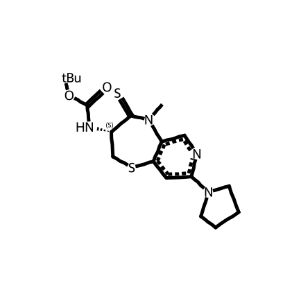 CN1C(=S)[C@@H](NC(=O)OC(C)(C)C)CSc2cc(N3CCCC3)ncc21